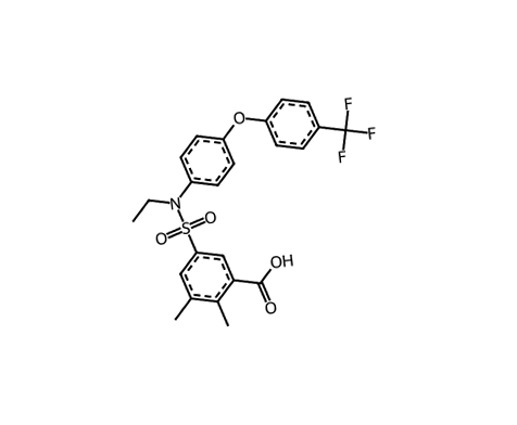 CCN(c1ccc(Oc2ccc(C(F)(F)F)cc2)cc1)S(=O)(=O)c1cc(C)c(C)c(C(=O)O)c1